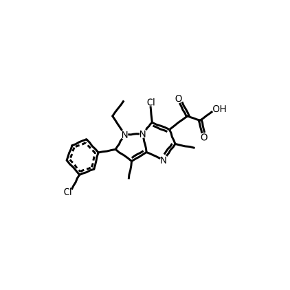 CCN1C(c2cccc(Cl)c2)C(C)=C2N=C(C)C(C(=O)C(=O)O)=C(Cl)N21